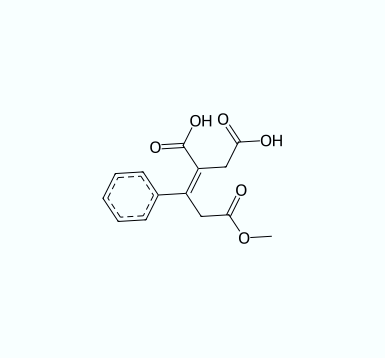 COC(=O)CC(=C(CC(=O)O)C(=O)O)c1ccccc1